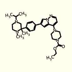 CCOC(=O)N1CCN(c2ccnn3cc(-c4ccc(C5(C)CN(C(C)C)CCN5C)cc4)cc23)CC1